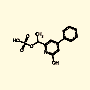 CC(OS(=O)(=O)O)c1cc(-c2ccccc2)cc(O)n1